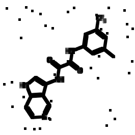 Cc1cc(NC(=O)C(=O)Nc2c[nH]c3ccncc23)cc(C(F)(F)F)c1